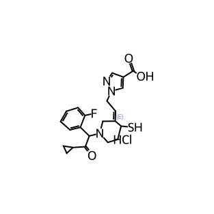 Cl.O=C(O)c1cnn(C/C=C2\CN(C(C(=O)C3CC3)c3ccccc3F)CCC2S)c1